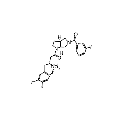 NC(CC(=O)N1CC[C@H]2CN(C(=O)c3cccc(F)c3)C[C@H]21)Cc1cc(F)c(F)cc1F